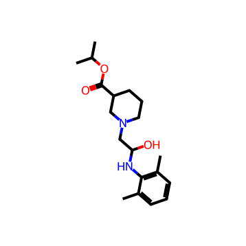 Cc1cccc(C)c1NC(O)CN1CCCC(C(=O)OC(C)C)C1